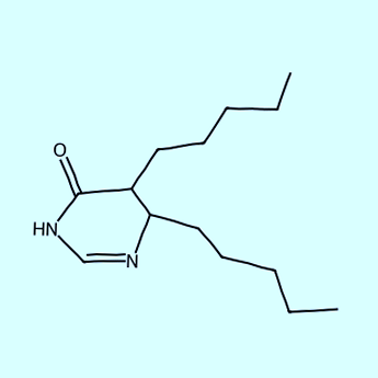 CCCCCC1N=CNC(=O)C1CCCCC